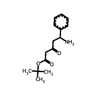 CC(C)(C)OC(=O)CC(=O)CC(N)c1ccccc1